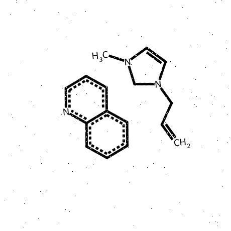 C=CCN1C=CN(C)C1.c1ccc2ncccc2c1